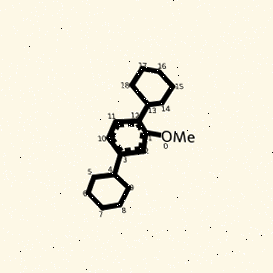 COc1cc(C2CCCCC2)[c]cc1C1CCCCC1